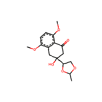 COc1ccc(OC)c2c1CC(O)(C1COC(C)O1)CC2=O